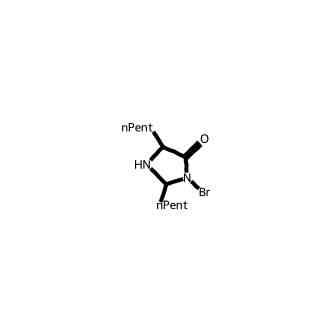 CCCCCC1NC(CCCCC)N(Br)C1=O